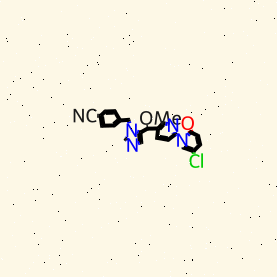 CO[C@H](c1ccc(-n2cc(Cl)ccc2=O)nc1)c1cncn1Cc1ccc(C#N)cc1